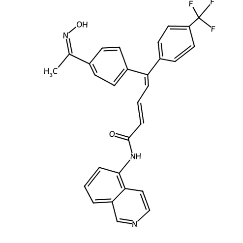 C/C(=N/O)c1ccc(/C(=C\C=C\C(=O)Nc2cccc3cnccc23)c2ccc(C(F)(F)F)cc2)cc1